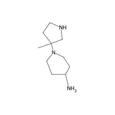 CC1(N2CCC(N)CC2)CCNC1